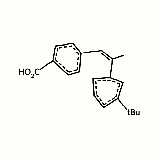 CC(=Cc1ccc(C(=O)O)cc1)c1cccc(C(C)(C)C)c1